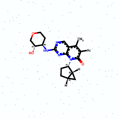 CC(=O)c1c(C)c2cnc(N[C@@H]3CCOC[C@H]3O)nc2n([C@H]2CC[C@H]3C[C@H]32)c1=O